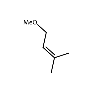 COCC=C(C)C